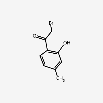 Cc1ccc(C(=O)CBr)c(O)c1